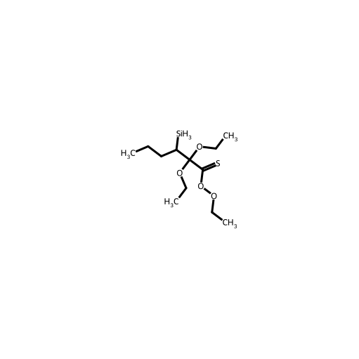 CCCC([SiH3])C(OCC)(OCC)C(=S)OOCC